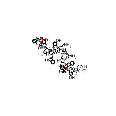 CCCC[C@@H](C(=O)N1C[C@H](O)C[C@@H]1C(=O)N[C@H](C=O)CC(=O)O)N(C)C(=O)C(Cc1ccccc1)N(C)C(=O)[C@H](Cc1cc(F)c(F)c(F)c1)NC(=O)CSC[C@H](NC(=O)[C@H](CCCN)NC(=O)[C@H](Cc1ccc(O)cc1)NC(=O)[C@H](Cc1c[nH]c2ccccc12)NC(=O)[C@H]1C[C@H](O)CN1C(=O)[C@H](Cc1ccc(O)cc1)NCC(=O)[C@H](Cc1ccccc1)N(C)C(=O)[C@@H](N)C(C)C)C(=O)NCC(N)=O